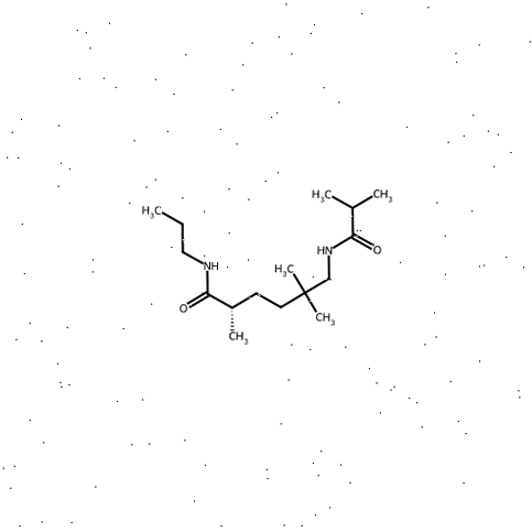 CCCNC(=O)[C@@H](C)CCC(C)(C)CNC(=O)C(C)C